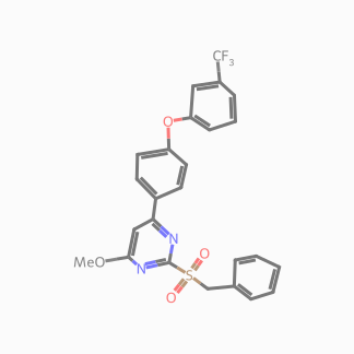 COc1cc(-c2ccc(Oc3cccc(C(F)(F)F)c3)cc2)nc(S(=O)(=O)Cc2ccccc2)n1